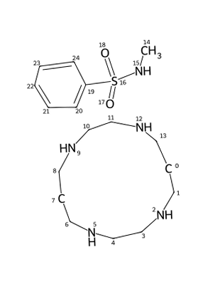 C1CNCCNCCCNCCNC1.CNS(=O)(=O)c1ccccc1